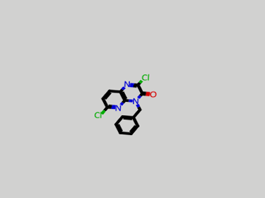 O=c1c(Cl)nc2ccc(Cl)nc2n1Cc1ccccc1